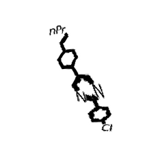 CCCC=CC1CCC(c2cnc(-c3ccc(Cl)cc3)nc2)CC1